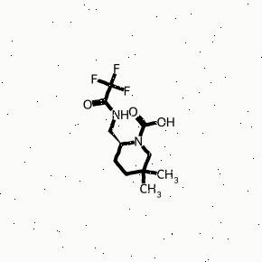 CC1(C)CC[C@@H](CNC(=O)C(F)(F)F)N(C(=O)O)C1